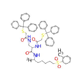 [2H]C(CCCCCS(=O)(=O)c1ccccc1C)NC(=O)C(CNC(=O)CSC(c1ccccc1)(c1ccccc1)c1ccccc1)NC(=O)CSC(c1ccccc1)(c1ccccc1)c1ccccc1